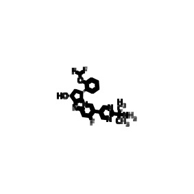 CC(C)(N)c1ncc(-c2cn3c4c(nc3cc2F)[C@H](O)C[C@@H]4c2ccccc2OC(F)F)cn1